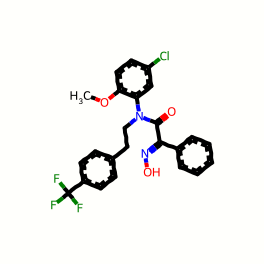 COc1ccc(Cl)cc1N(CCc1ccc(C(F)(F)F)cc1)C(=O)C(=NO)c1ccccc1